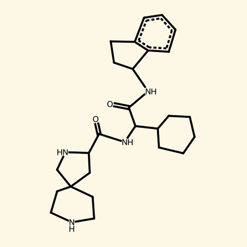 O=C(NC(C(=O)NC1CCc2ccccc21)C1CCCCC1)C1CC2(CCNCC2)CN1